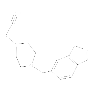 C#CCN1CCN(Cc2ccc3c(c2)CNC3)CC1.Cl